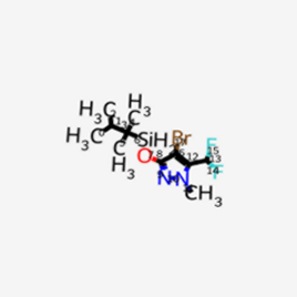 CC(C)C(C)(C)[SiH2]Oc1nn(C)c(C(F)F)c1Br